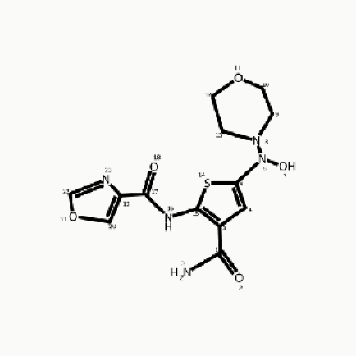 NC(=O)c1cc(N(O)N2CCOCC2)sc1NC(=O)c1cocn1